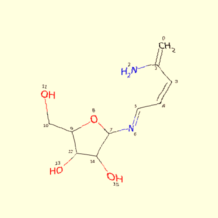 C=C(N)/C=C\C=N\C1OC(CO)C(O)C1O